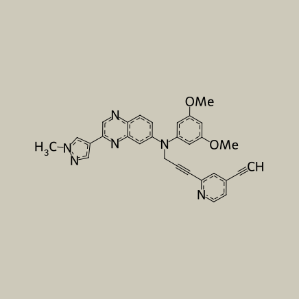 C#Cc1ccnc(C#CCN(c2cc(OC)cc(OC)c2)c2ccc3ncc(-c4cnn(C)c4)nc3c2)c1